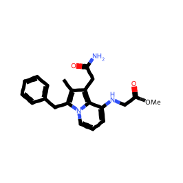 COC(=O)CNc1cccn2c(Cc3ccccc3)c(C)c(CC(N)=O)c12